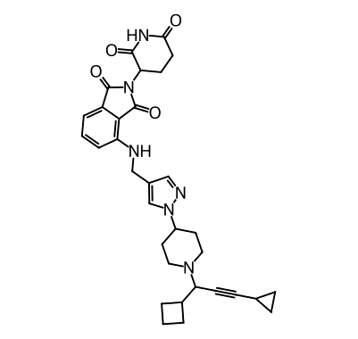 O=C1CCC(N2C(=O)c3cccc(NCc4cnn(C5CCN(C(C#CC6CC6)C6CCC6)CC5)c4)c3C2=O)C(=O)N1